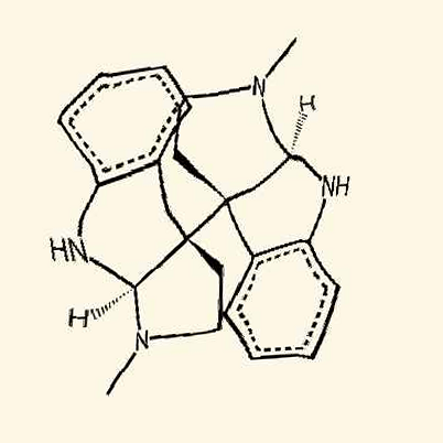 CN1CC[C@]2([C@]34CCN(C)[C@H]3Nc3ccccc34)c3ccccc3N[C@H]12